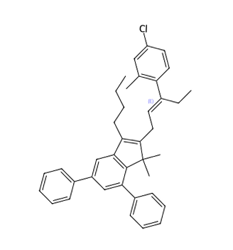 CCCCC1=C(C/C=C(\CC)c2ccc(Cl)cc2C)C(C)(C)c2c1cc(-c1ccccc1)cc2-c1ccccc1